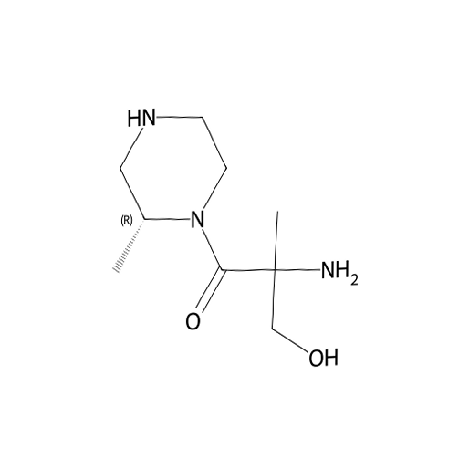 C[C@@H]1CNCCN1C(=O)C(C)(N)CO